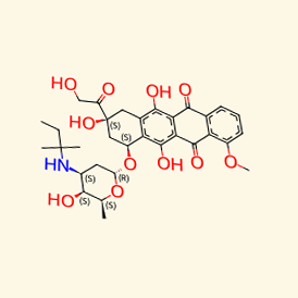 CCC(C)(C)N[C@H]1C[C@H](O[C@H]2C[C@](O)(C(=O)CO)Cc3c(O)c4c(c(O)c32)C(=O)c2c(OC)cccc2C4=O)O[C@@H](C)[C@H]1O